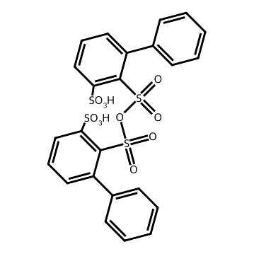 O=S(=O)(O)c1cccc(-c2ccccc2)c1S(=O)(=O)OS(=O)(=O)c1c(-c2ccccc2)cccc1S(=O)(=O)O